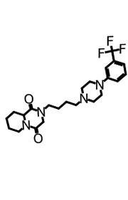 O=C1C2CCCCN2C(=O)CN1CCCCN1CCN(c2cccc(C(F)(F)F)c2)CC1